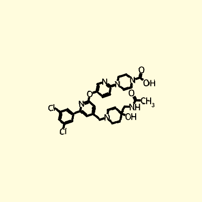 CC(=O)NCC1(O)CCN(Cc2cc(Oc3ccc(N4CCN(C(=O)O)CC4)nc3)nc(-c3cc(Cl)cc(Cl)c3)c2)CC1